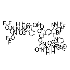 CC(C)OC(=O)c1cc(-c2nn(C)c(C(F)(F)F)c2Br)c(F)cc1Cl.CCS(=O)(=O)c1cccnc1S(=O)(=O)NC(=O)Nc1nc(OC)cc(OC)n1.O=C(Nc1nc(OC(F)F)cc(OC(F)F)n1)NS(=O)(=O)c1ccccc1C(=O)O